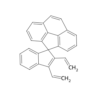 C=CC1=C(C=C)C2(c3ccccc31)c1cccc3ccc4cccc2c4c13